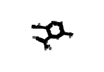 CNc1ncc(Br)cc1C(N)=O